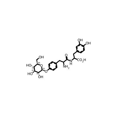 NC(Cc1ccc(O[C@@H]2O[C@H](CO)[C@@H](O)[C@H](O)[C@H]2O)cc1)C(=O)NC(Cc1ccc(O)c(O)c1)C(=O)O